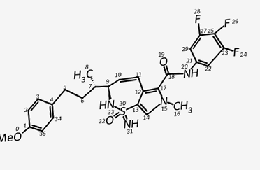 COc1ccc(CC[C@H](C)[C@H]2C=Cc3c(cn(C)c3C(=O)Nc3cc(F)c(F)c(F)c3)S(=N)(=O)N2)cc1